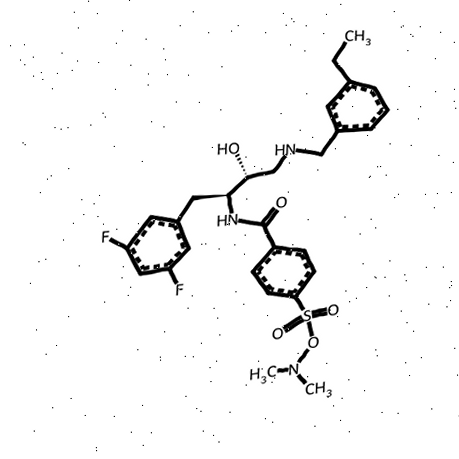 CCc1cccc(CNC[C@@H](O)[C@H](Cc2cc(F)cc(F)c2)NC(=O)c2ccc(S(=O)(=O)ON(C)C)cc2)c1